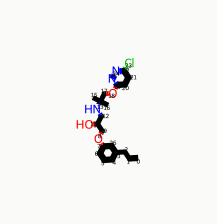 C=CCc1cccc(OCC(O)CNC(C)(C)COc2ccc(Cl)nn2)c1